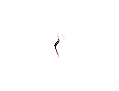 B/C=C/I